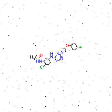 CC(=O)Nc1cc(Nc2ncnc(N3CC(Oc4ccc(F)cc4)C3)n2)ccc1Cl